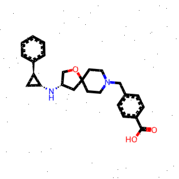 O=C(O)c1ccc(CN2CCC3(CC2)C[C@H](N[C@@H]2C[C@H]2c2ccccc2)CO3)cc1